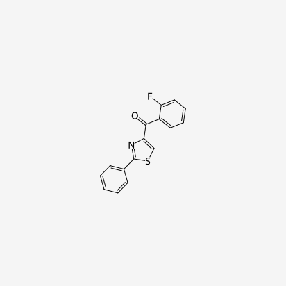 O=C(c1csc(-c2ccccc2)n1)c1ccccc1F